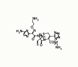 NCCON=C(C(=O)NC1(C=S)C(=O)N2C(C(=O)O)=C(c3nnnn3CCN)CS[C@H]21)c1nsc(N)n1